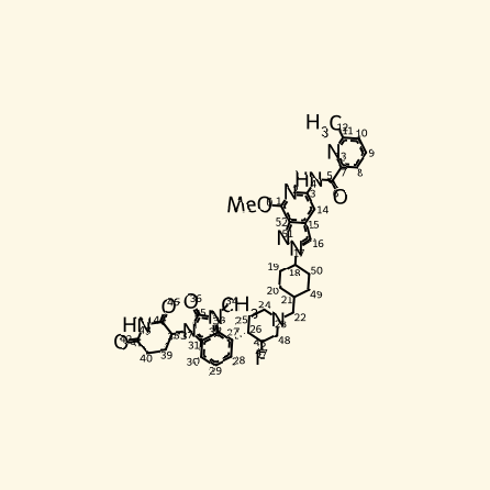 COc1nc(NC(=O)c2cccc(C)n2)cc2cn(C3CCC(CN4CC[C@@H](c5cccc6c5n(C)c(=O)n6C5CCC(=O)NC5=O)[C@H](F)C4)CC3)nc12